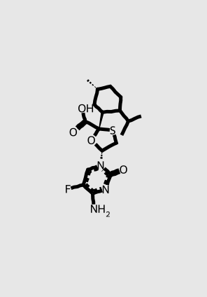 CC(C)C1CC[C@@H](C)CC1[C@]1(C(=O)O)O[C@@H](n2cc(F)c(N)nc2=O)CS1